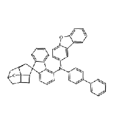 c1ccc(-c2ccc(N(c3ccc4oc5ccccc5c4c3)c3cccc4c3-c3ccccc3C43C4CC5CC6CC3C6(C5)C4)cc2)cc1